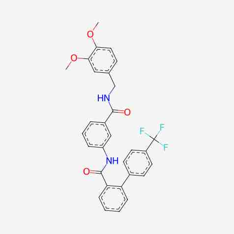 COc1ccc(CNC(=O)c2cccc(NC(=O)c3ccccc3-c3ccc(C(F)(F)F)cc3)c2)cc1OC